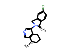 C=C1c2ccc(Cl)cc2CN1c1cncc2c1CCC[C@H]2C